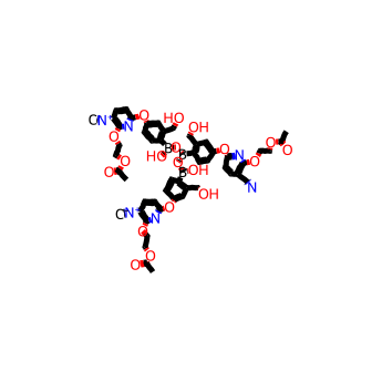 [C-]#[N+]c1ccc(Oc2ccc(B(O)OB(OB(O)c3ccc(Oc4ccc([N+]#[C-])c(OCCOC(C)=O)n4)cc3CO)c3ccc(Oc4ccc(C#N)c(OCCOC(C)=O)n4)cc3CO)c(CO)c2)nc1OCCOC(C)=O